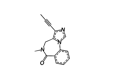 CC#Cc1ncn2c1CN(C)C(=O)c1ccccc1-2